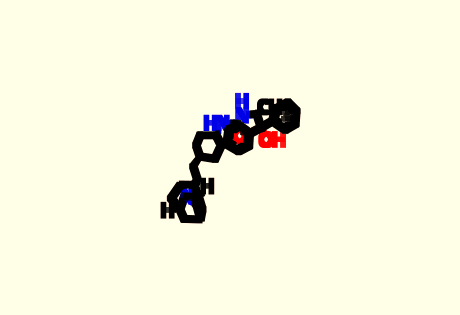 C[C@@H](NC(=O)N[C@H]1CC[C@H](CCN2CC3C[C@@H]4CC2C[C@H](C3)C4)CC1)C(O)(c1ccccc1)c1ccccc1